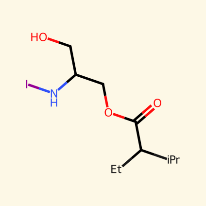 CCC(C(=O)OCC(CO)NI)C(C)C